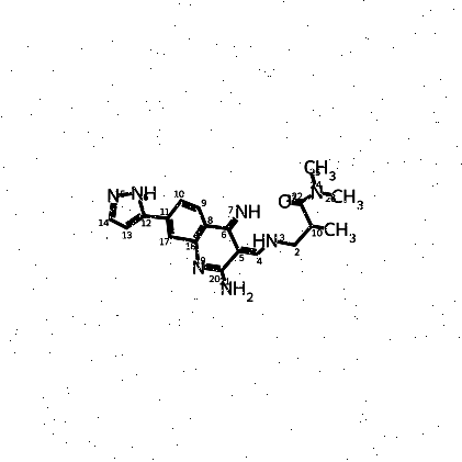 CC(CN/C=C1\C(=N)c2ccc(-c3ccn[nH]3)cc2N=C1N)C(=O)N(C)C